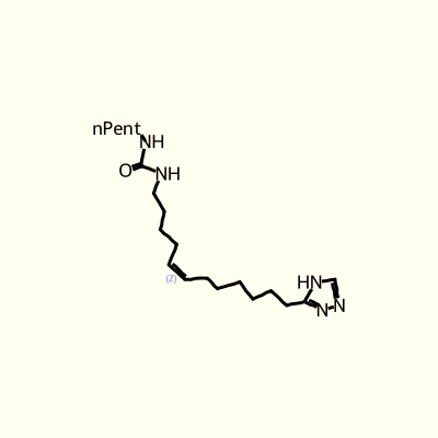 CCCCCNC(=O)NCCCC/C=C\CCCCCCc1nnc[nH]1